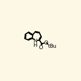 CC(C)(C)OC(=O)C1=CC=Cc2ccccc2N1